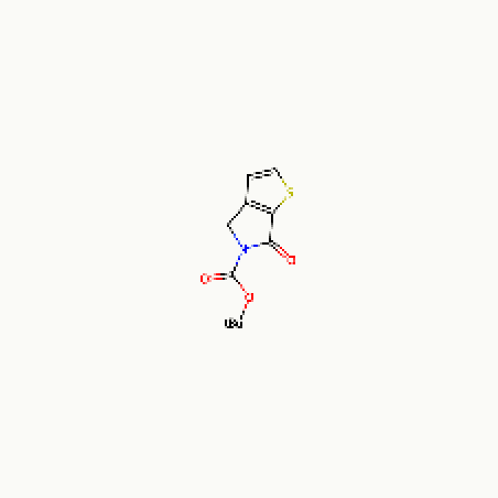 CC(C)(C)OC(=O)N1Cc2ccsc2C1=O